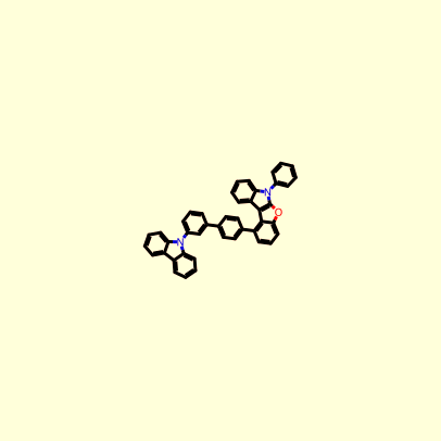 c1ccc(-n2c3ccccc3c3c4c(-c5ccc(-c6cccc(-n7c8ccccc8c8ccccc87)c6)cc5)cccc4oc32)cc1